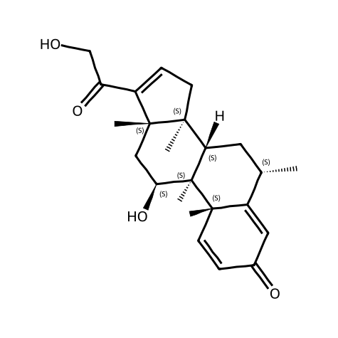 C[C@H]1C[C@@H]2[C@](C)([C@@H](O)C[C@]3(C)C(C(=O)CO)=CC[C@@]23C)[C@@]2(C)C=CC(=O)C=C12